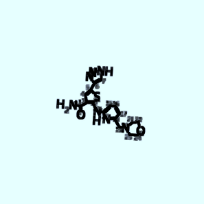 NC(=O)c1cc(-c2c[nH]nn2)sc1Nc1cccc(CN2CCOCC2)n1